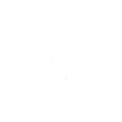 CCCCCCCCCCCCCCCCCC(=O)O.[Na]